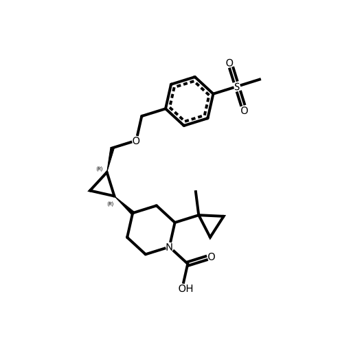 CC1(C2CC([C@H]3C[C@H]3COCc3ccc(S(C)(=O)=O)cc3)CCN2C(=O)O)CC1